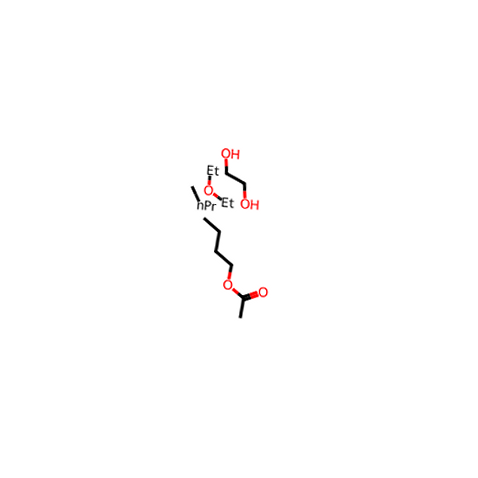 CCCC.CCCCOC(C)=O.CCOCC.OCCO